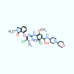 C=N/C(=N\C(Oc1cccc2c1C(=O)N(C)C2)=C(/C)Cl)Nc1cc(Cl)c(C(O)NC2CCN(C3CCOCC3)CC2)cc1OC